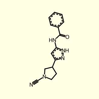 N#CN1CCC(c2cc(NC(=O)c3ccccc3)[nH]n2)C1